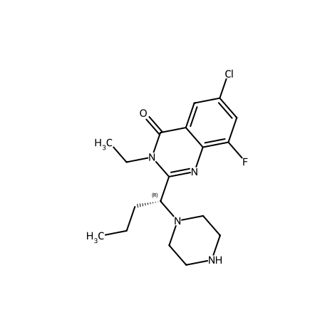 CCC[C@H](c1nc2c(F)cc(Cl)cc2c(=O)n1CC)N1CCNCC1